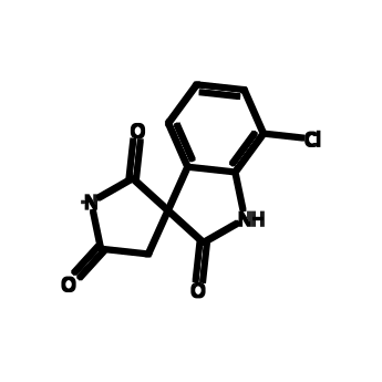 O=C1CC2(C(=O)[N]1)C(=O)Nc1c(Cl)cccc12